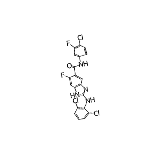 O=C(Nc1ccc(Cl)c(F)c1)c1cc2nc(Nc3c(Cl)cccc3Cl)[nH]c2cc1F